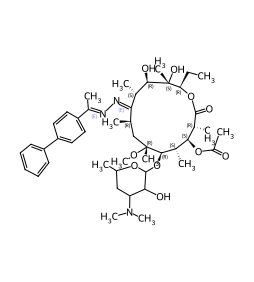 CC[C@H]1OC(=O)[C@H](C)[C@@H](OC(C)=O)[C@H](C)[C@@H](OC2OC(C)CC(N(C)C)C2O)[C@](C)(OC)C[C@@H](C)/C(=N\N=C(/C)c2ccc(-c3ccccc3)cc2)[C@H](C)[C@@H](O)[C@]1(C)O